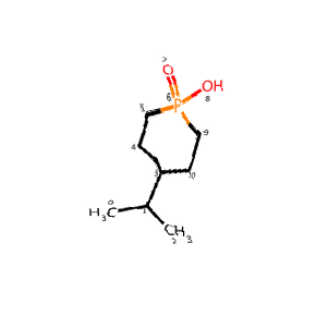 CC(C)C1CCP(=O)(O)CC1